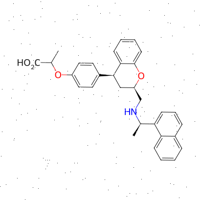 CC(Oc1ccc([C@@H]2C[C@H](CN[C@H](C)c3cccc4ccccc34)Oc3ccccc32)cc1)C(=O)O